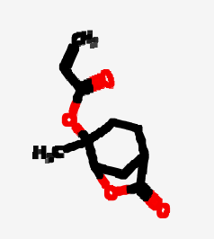 C=CC(=O)OC1(C)CCC2CC1OC2=O